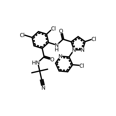 CC(C)(C#N)NC(=O)c1cc(Cl)cc(Cl)c1NC(=O)c1cc(Cl)nn1-c1ncccc1Cl